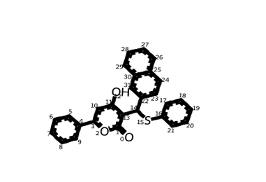 O=c1oc(-c2ccccc2)cc(O)c1C(Sc1ccccc1)c1ccc2ccccc2c1